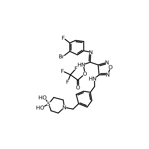 O=C(ONC(=Nc1ccc(F)c(Br)c1)c1nonc1NCc1ccc(CN2CCS(O)(O)CC2)cc1)C(F)(F)F